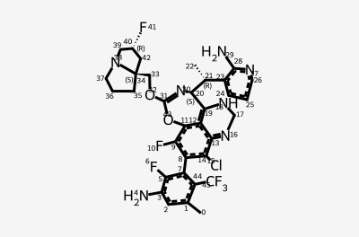 Cc1cc(N)c(F)c(-c2c(F)c3c4c(c2Cl)=NCNC=4[C@H]([C@H](C)c2cccnc2N)N=C(OC[C@@]24CCCN2C[C@H](F)C4)O3)c1C(F)(F)F